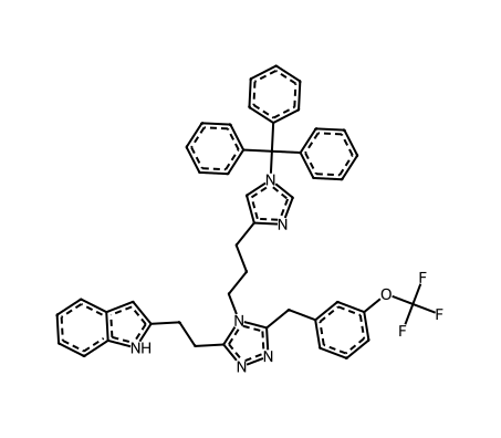 FC(F)(F)Oc1cccc(Cc2nnc(CCc3cc4ccccc4[nH]3)n2CCCc2cn(C(c3ccccc3)(c3ccccc3)c3ccccc3)cn2)c1